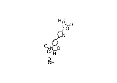 CN1CC(c2ccc(-c3ccc4c(c3)OC[C@H]3[C@H](COO)OC(=O)N43)cn2)OC1=O